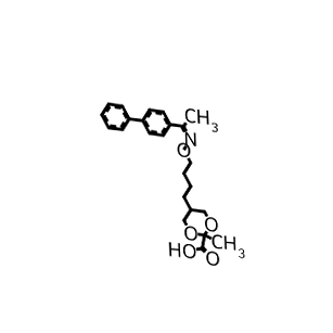 CC(=NOCCCCC1COC(C)(C(=O)O)OC1)c1ccc(-c2ccccc2)cc1